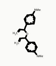 C=CC(OC(C=C)c1ccc(NC)cc1)c1ccc(NC)cc1